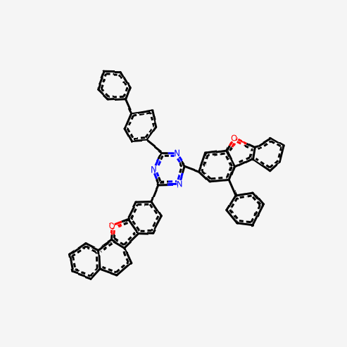 c1ccc(-c2ccc(-c3nc(-c4ccc5c(c4)oc4c6ccccc6ccc54)nc(-c4cc(-c5ccccc5)c5c(c4)oc4ccccc45)n3)cc2)cc1